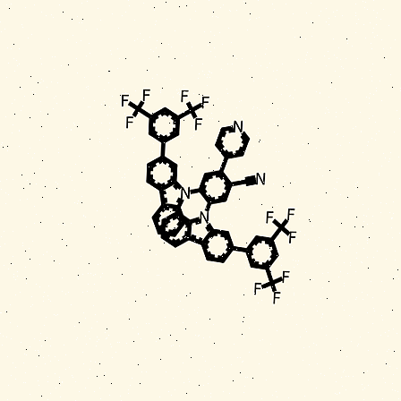 N#Cc1cc(-n2c3ccccc3c3ccc(-c4cc(C(F)(F)F)cc(C(F)(F)F)c4)cc32)c(-n2c3ccccc3c3ccc(-c4cc(C(F)(F)F)cc(C(F)(F)F)c4)cc32)cc1-c1ccncc1